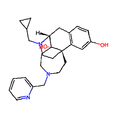 Oc1ccc2c(c1)[C@@]13CCN(Cc4ccccn4)CC[C@@]1(O)[C@@H](C2)N(CC1CC1)CC3